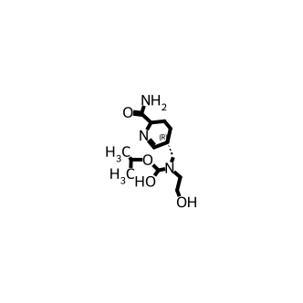 CC(C)OC(O)N(CCO)C[C@@H]1C=NC(C(N)=O)CC1